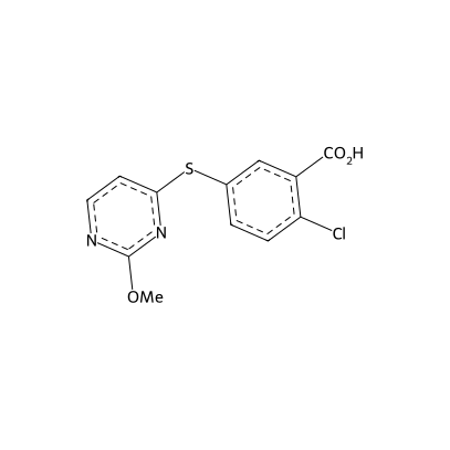 COc1nccc(Sc2ccc(Cl)c(C(=O)O)c2)n1